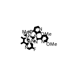 COc1cccc(-c2nnc(NS(=O)(=O)C(C)C(C)c3ncc(F)cn3)n2-c2c(OC)ccnc2OC)n1